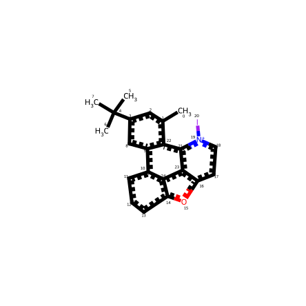 Cc1cc(C(C)(C)C)cc2c3cccc4oc5cc[n+](I)c(c12)c5c43